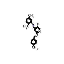 Cc1ccc(COc2ncc(F)c(/N=N/c3cc(C)ccc3C)n2)cc1